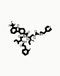 CCC(C)[C@H](NC(=O)Cc1ccccc1F)C(=O)N[C@]1(C(=O)NC(CNC(=O)NCCc2ccncc2)[C@@H](C)CC)CCc2[nH]c3c(C(F)(F)F)cccc3c2C1